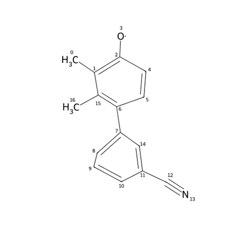 Cc1c([O])ccc(-c2cccc(C#N)c2)c1C